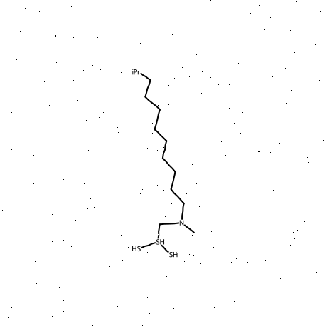 CC(C)CCCCCCCCCN(C)C[SH](S)S